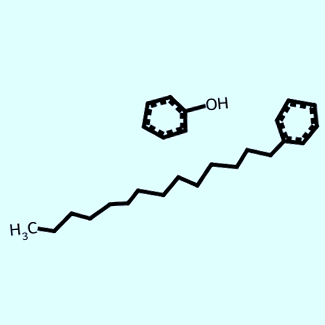 CCCCCCCCCCCCCCc1ccccc1.Oc1ccccc1